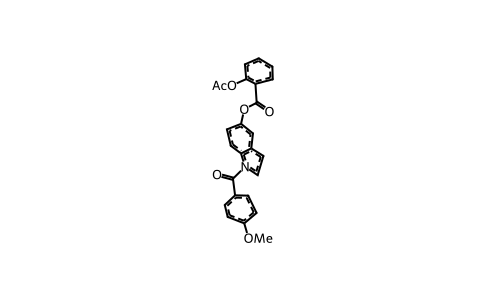 COc1ccc(C(=O)n2ccc3cc(OC(=O)c4ccccc4OC(C)=O)ccc32)cc1